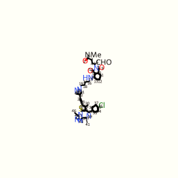 CNC(=O)CCC(C=O)N1C(=O)c2cccc(NCCCCn3cc(C#Cc4sc5c(c4C)C(c4ccc(Cl)cc4)=N[C@@H](C)c4nnc(C)n4-5)cn3)c2C1=O